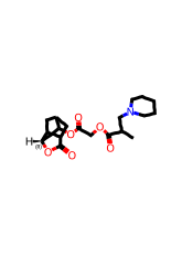 CC(CN1CCCCC1)C(=O)OCC(=O)OC1C2CC3C(=O)O[C@@H]1C3C2